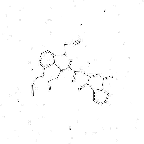 C#CCOc1cccc(OCC#C)c1N(CC=C)C(=O)C(=O)NC1=CC(=O)c2ccccc2C1=O